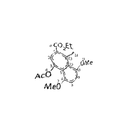 CCOC(=O)c1cc(OC(C)=O)c2c(OC)ccc(OC)c2c1C